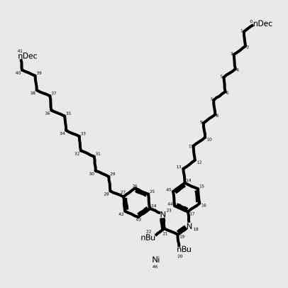 CCCCCCCCCCCCCCCCCCCCCCCc1ccc(N=C(CCCC)C(CCCC)=Nc2ccc(CCCCCCCCCCCCCCCCCCCCCCC)cc2)cc1.[Ni]